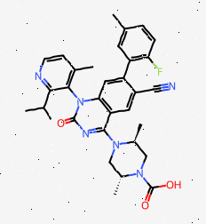 Cc1ccc(F)c(-c2cc3c(cc2C#N)c(N2C[C@@H](C)N(C(=O)O)C[C@@H]2C)nc(=O)n3-c2c(C)ccnc2C(C)C)c1